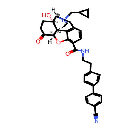 N#Cc1ccc(-c2ccc(CCNC(=O)c3ccc4c5c3O[C@H]3C(=O)CC[C@@]6(O)[C@@H](C4)N(CC4CC4)CC[C@]536)cc2)cc1